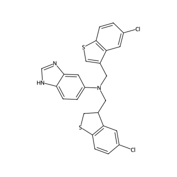 Clc1ccc2c(c1)C(CN(Cc1csc3ccc(Cl)cc13)c1ccc3[nH]cnc3c1)CS2